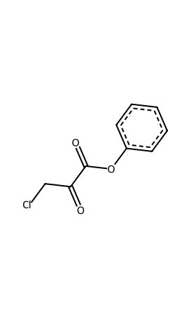 O=C(CCl)C(=O)Oc1ccccc1